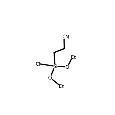 CCO[Si](Cl)(CCC#N)OCC